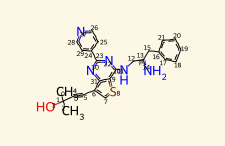 CC(C)(O)C#Cc1csc2c(NC[C@H](N)Cc3ccccc3)nc(-c3ccncc3)nc12